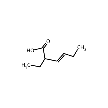 CCC=CC(CC)C(=O)O